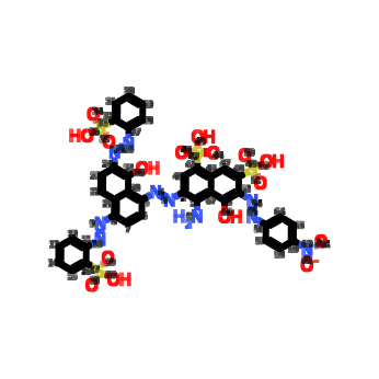 Nc1c(N=Nc2ccc(N=Nc3ccccc3S(=O)(=O)O)c3ccc(N=Nc4ccccc4S(=O)(=O)O)c(O)c23)cc(S(=O)(=O)O)c2cc(S(=O)(=O)O)c(N=Nc3ccc([N+](=O)[O-])cc3)c(O)c12